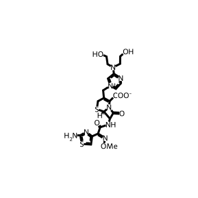 CON=C(C(=O)NC1C(=O)N2C(C(=O)[O-])=C(C[n+]3ccnc(N(CCO)CCO)c3)CS[C@@H]12)c1csc(N)n1